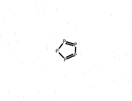 [P]1P=PP=P1